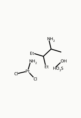 CCC(CC)C(C)N.O=S(=O)(O)O.[NH2][Pt]([Cl])[Cl]